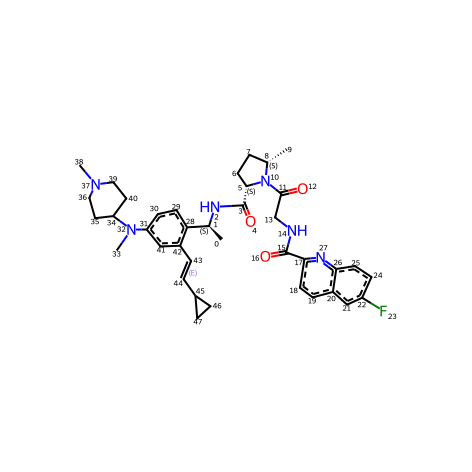 C[C@H](NC(=O)[C@@H]1CC[C@H](C)N1C(=O)CNC(=O)c1ccc2cc(F)ccc2n1)c1ccc(N(C)C2CCN(C)CC2)cc1/C=C/C1CC1